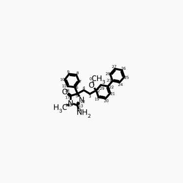 COC1(CCC2(c3ccccc3)N=C(N)N(C)C2=O)C=CC=C(c2ccccc2)C1